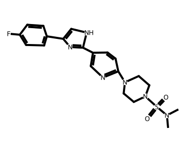 CN(C)S(=O)(=O)N1CCN(c2ccc(-c3nc(-c4ccc(F)cc4)c[nH]3)cn2)CC1